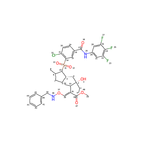 CC[C@](O)(C[C@@H]1CCC(C)C1S(=O)(=O)c1cc(C(=O)Nc2cc(F)c(F)c(F)c2)ccc1Cl)C(C)/C(=C\ONCc1ccccc1)C(=O)OC